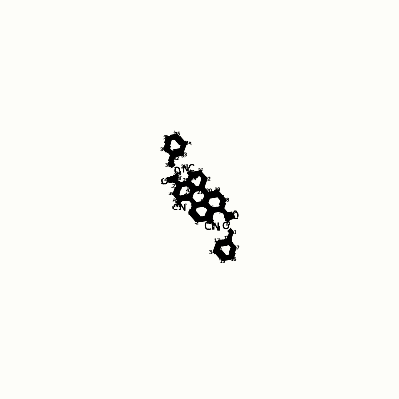 N#Cc1ccc2c3c1C(C(=O)OCc1ccccc1)CC=c3c1ccc(C#N)c3c(C(=O)OCc4ccccc4)cc(C#N)c2c31